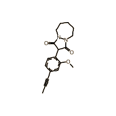 CC#Cc1ccc(C2C(=O)N3CCCCCN3C2=O)c(OC)c1